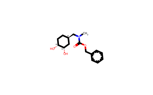 CN(C[C@@H]1CC[C@@H](O)[C@@H](O)C1)C(=O)OCc1ccccc1